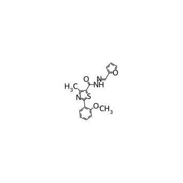 COc1ccccc1-c1nc(C)c(C(=O)N/N=C/c2ccco2)s1